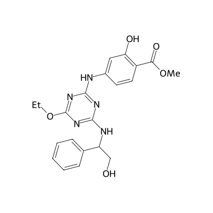 CCOc1nc(Nc2ccc(C(=O)OC)c(O)c2)nc(NC(CO)c2ccccc2)n1